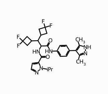 Cc1n[nH]c(C)c1-c1ccc(NC(=O)C(NC(=O)c2ccnn2C(C)C)C(C2CC(F)(F)C2)C2CC(F)(F)C2)cc1